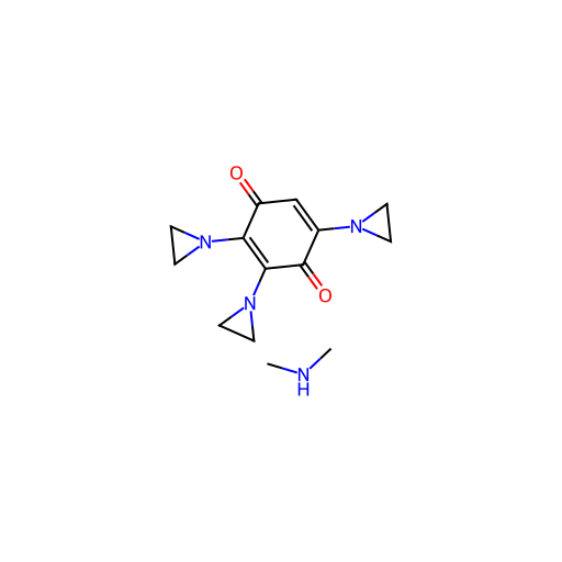 CNC.O=C1C=C(N2CC2)C(=O)C(N2CC2)=C1N1CC1